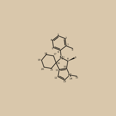 Cc1ccccc1N1[C@@H](C)c2c(ccn2C)C12CCCCC2